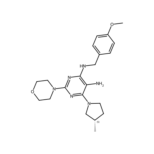 COc1ccc(CNc2nc(N3CCOCC3)nc(N3CC[C@H](C)C3)c2N)cc1